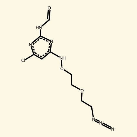 [N-]=[N+]=NCCOCCONc1cc(Cl)nc(NC=O)n1